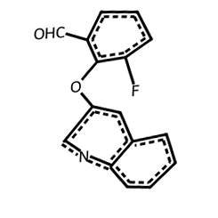 O=Cc1cccc(F)c1Oc1cnc2ccccc2c1